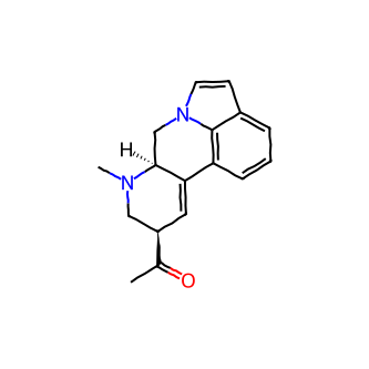 CC(=O)[C@@H]1C=C2c3cccc4ccn(c34)C[C@@H]2N(C)C1